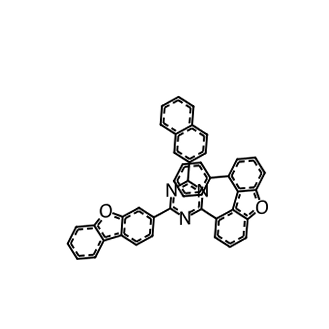 c1ccc(-c2cccc3oc4cccc(-c5nc(-c6ccc7ccccc7c6)nc(-c6ccc7c(c6)oc6ccccc67)n5)c4c23)cc1